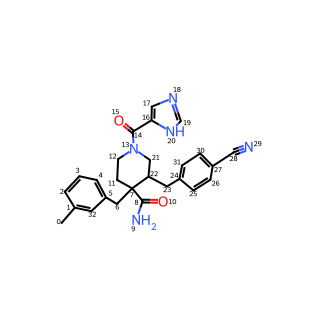 Cc1cccc(CC2(C(N)=O)CCN(C(=O)c3cnc[nH]3)CC2Cc2ccc(C#N)cc2)c1